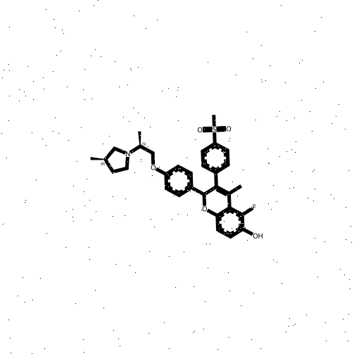 CC1=C(c2ccc(S(C)(=O)=O)cc2)C(c2ccc(OC[C@H](C)N3CC[C@@H](C)C3)cc2)Oc2ccc(O)c(F)c21